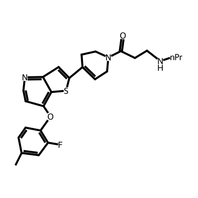 CCCNCCC(=O)N1CC=C(c2cc3nccc(Oc4ccc(C)cc4F)c3s2)CC1